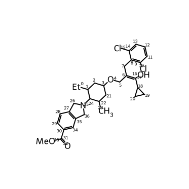 CCC1CC(OC/C(Cc2c(Cl)cccc2Cl)=C(/O)C2CC2)CC(C)C1N1Cc2ccc(C(=O)OC)cc2C1